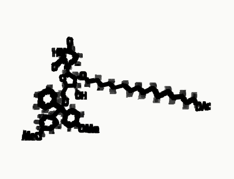 COc1ccc(C(OC[C@H]2O[C@@H](n3ccc(=O)[nH]c3=O)[C@H](OCCCCCCCCCCCCCCCCOC(C)=O)[C@@H]2O)(c2ccccc2)c2ccc(OC)cc2)cc1